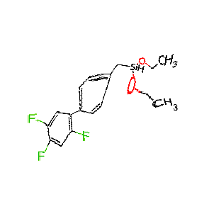 CCO[SiH](Cc1ccc(-c2cc(F)c(F)cc2F)cc1)OCC